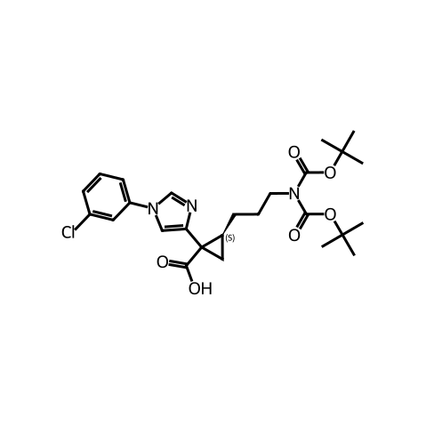 CC(C)(C)OC(=O)N(CCC[C@H]1CC1(C(=O)O)c1cn(-c2cccc(Cl)c2)cn1)C(=O)OC(C)(C)C